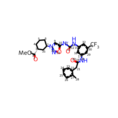 COC(=O)[C@@H]1CCC[C@@H]([n+]2cc([N-]C(=O)Nc3cc(NC(=O)Cc4ccccc4C)cc(C(F)(F)F)c3)on2)C1